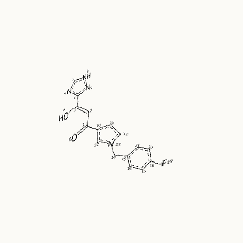 O=C(C=C(O)c1nc[nH]n1)c1ccn(Cc2ccc(F)cc2)c1